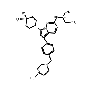 CC[C@H](C)Nc1ncc2c(-c3ccc(CN4CCN(C)CC4)cc3)cc([C@H]3CC[C@@](C)(O)CC3)n2n1